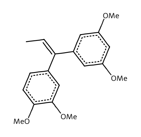 CC=C(c1cc(OC)cc(OC)c1)c1ccc(OC)c(OC)c1